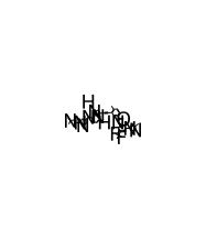 Cc1cn(-c2cc(NC(=O)c3ccc(C)c(C#Cc4cnc5c(Nc6cnn(CCN(C)C)c6)cccn45)c3)cc(C(C)(F)F)c2)cn1